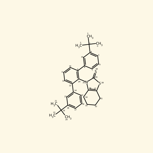 CC(C)(C)c1cccc(-c2cccc(-c3cccc(C(C)(C)C)c3)c2-n2c3c(sc2=S)CCCC3)c1